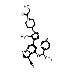 Cc1c(-c2cc(O[C@H](C)c3ccc(F)cn3)c3c(C#N)cnn3c2)cnn1C1CCN(C(=O)CO)CC1